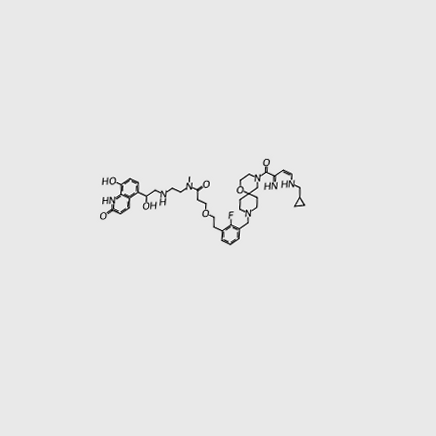 CN(CCNCC(O)c1ccc(O)c2[nH]c(=O)ccc12)C(=O)CCOCCc1cccc(CN2CCC3(CC2)CN(C(=O)C(=N)/C=C\NCC2CC2)CCO3)c1F